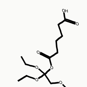 CCOCC(OCC)(OCC)OC(=O)CCCCC(=O)O